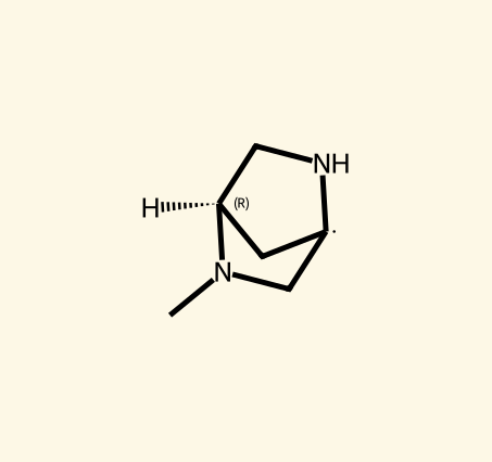 CN1C[C]2C[C@@H]1CN2